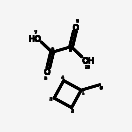 CC1CCC1.O=C(O)C(=O)O